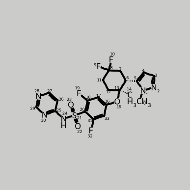 Cn1nccc1[C@H]1CC(F)(F)CC[C@]1(C)Oc1cc(F)c(S(=O)(=O)Nc2ccncn2)c(F)c1